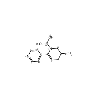 CC1CC=C(c2ccncc2)N(C(=O)O)C1